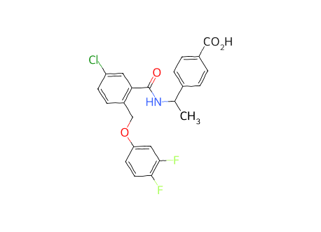 CC(NC(=O)c1cc(Cl)ccc1COc1ccc(F)c(F)c1)c1ccc(C(=O)O)cc1